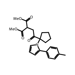 COC(=O)C(CC(=O)C1(n2cccc2-c2ccc(C)cc2)CCCC1)C(=O)OC